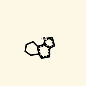 c1cc2ccc3c(c2[nH]1)CCCC3